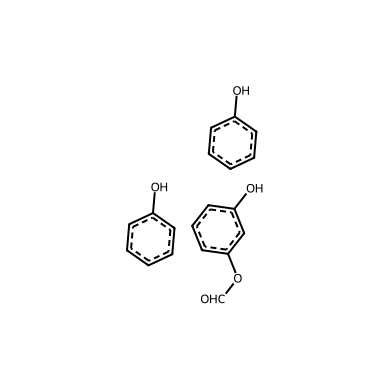 O=COc1cccc(O)c1.Oc1ccccc1.Oc1ccccc1